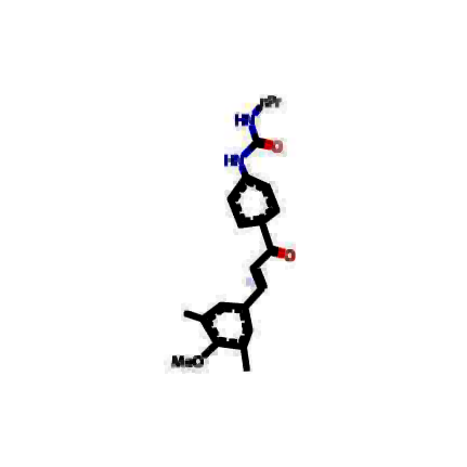 CCCNC(=O)Nc1ccc(C(=O)/C=C/c2cc(C)c(OC)c(C)c2)cc1